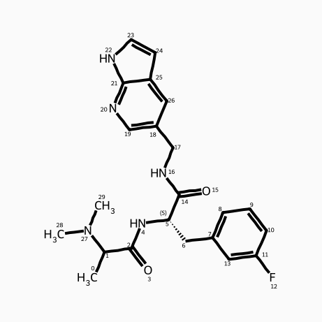 CC(C(=O)N[C@@H](Cc1cccc(F)c1)C(=O)NCc1cnc2[nH]ccc2c1)N(C)C